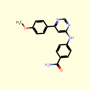 COc1ccc(-c2cc(Nc3ccc(C(N)=O)cc3)ncn2)cc1